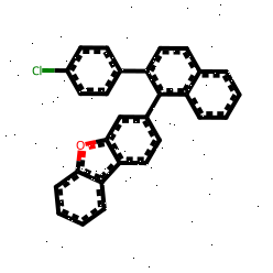 Clc1ccc(-c2ccc3ccccc3c2-c2ccc3c(c2)oc2ccccc23)cc1